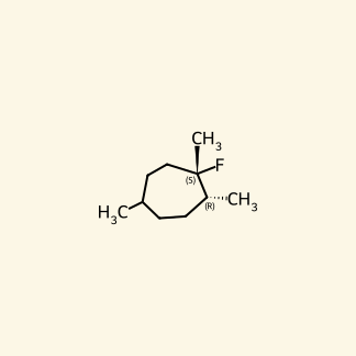 CC1CC[C@@H](C)[C@@](C)(F)CC1